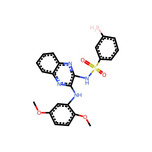 Bc1cccc(S(=O)(=O)Nc2nc3ccccc3nc2Nc2cc(OC)ccc2OC)c1